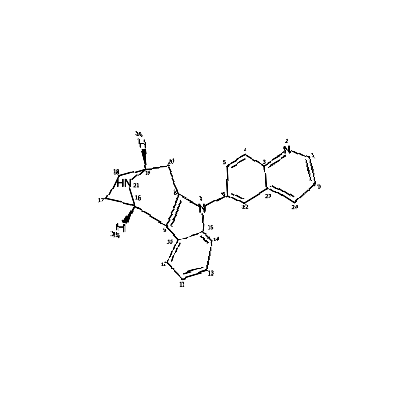 c1cnc2ccc(-n3c4c(c5ccccc53)[C@@H]3CC[C@H](C4)N3)cc2c1